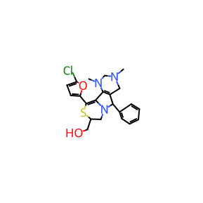 CN1CC2=C(C3=C(c4ccc(Cl)o4)SC(CO)CN3C2c2ccccc2)N(C)C1